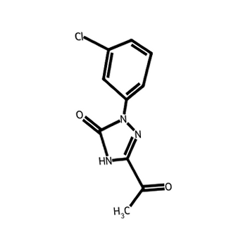 CC(=O)c1nn(-c2cccc(Cl)c2)c(=O)[nH]1